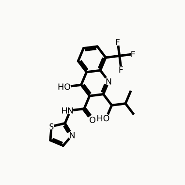 CC(C)C(O)c1nc2c(C(F)(F)F)cccc2c(O)c1C(=O)Nc1nccs1